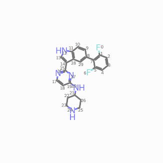 Fc1cccc(F)c1-c1ccc2[nH]cc(-c3nccc(NC4CCNCC4)n3)c2c1